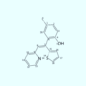 Cc1ccc(O)c(C(=Cc2ccccn2)c2cccs2)c1